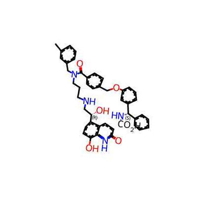 Cc1cccc(CN(CCCNC[C@H](O)c2ccc(O)c3[nH]c(=O)ccc23)C(=O)c2ccc(COc3cccc([C@@H](NC(=O)O)c4ccccc4)c3)cc2)c1